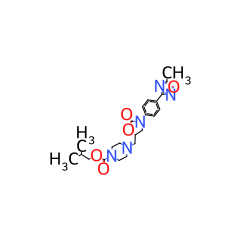 Cc1nc(-c2ccc(N3CC(CN4CCN(C(=O)OCC(C)C)CC4)OC3=O)cc2)no1